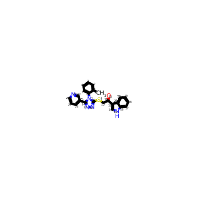 Cc1ccccc1-n1c(SCC(=O)c2c[nH]c3ccccc23)nnc1-c1cccnc1